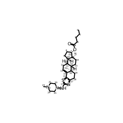 CCCCC(=O)O[C@H]1CC[C@H]2[C@@H]3CC=C4c5sc(NN6CCN(C)CC6)nc5CC[C@]4(C)[C@H]3CC[C@]12C